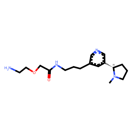 CN1CCC[C@H]1c1cncc(CCCNC(=O)COCCN)c1